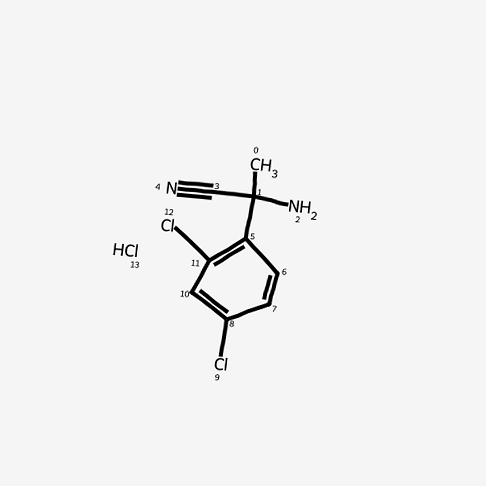 CC(N)(C#N)c1ccc(Cl)cc1Cl.Cl